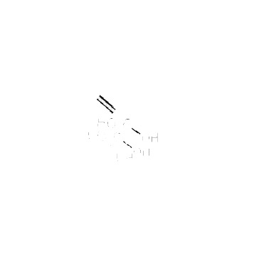 C=C.O=C(O)O.O=C(O)O.[LiH]